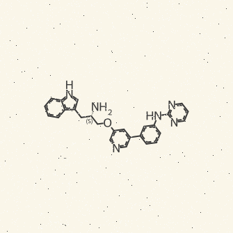 N[C@H](COc1cncc(-c2cccc(Nc3ncccn3)c2)c1)Cc1c[nH]c2ccccc12